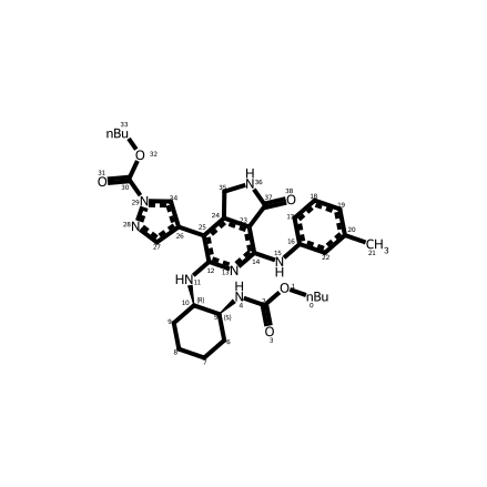 CCCCOC(=O)N[C@H]1CCCC[C@H]1Nc1nc(Nc2cccc(C)c2)c2c(c1-c1cnn(C(=O)OCCCC)c1)CNC2=O